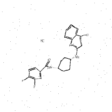 Cl.O=C(N[C@H]1CC[C@@H](Nc2cc(Cl)c3ccccc3n2)CC1)c1ccc(F)c(F)c1